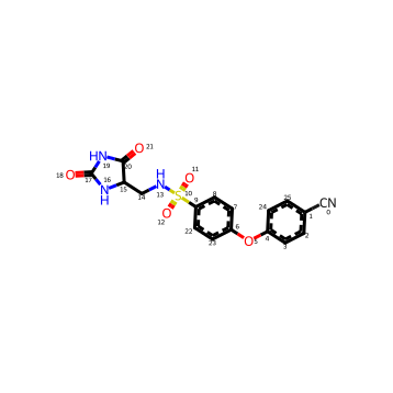 N#Cc1ccc(Oc2ccc(S(=O)(=O)NCC3NC(=O)NC3=O)cc2)cc1